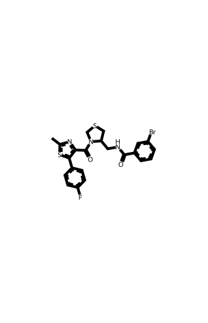 Cc1nc(C(=O)N2CSCC2CNC(=O)c2cccc(Br)c2)c(-c2ccc(F)cc2)s1